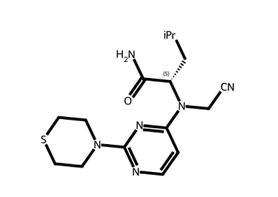 CC(C)C[C@@H](C(N)=O)N(CC#N)c1ccnc(N2CCSCC2)n1